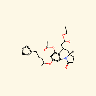 CCOC(=O)CC1C[C@@H]2CCC(=O)N2c2cc(OC(C)CCCc3ccccc3)cc(OC(C)=O)c21